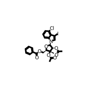 CC(=O)O[C@H]1[C@H](n2cc(I)c3c(Cl)cccc32)O[C@H](COC(=O)c2ccccc2)[C@@]1(C)OC(C)=O